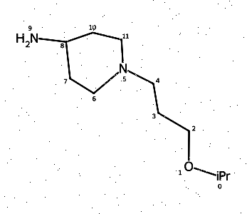 CC(C)OCCCN1CCC(N)CC1